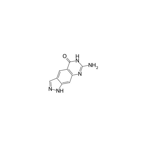 Nc1nc2cc3[nH]ncc3cc2c(=O)[nH]1